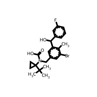 Cc1c(Br)cc(CN(C(=O)O)C2(C(C)(C)C)CC2)cc1C(O)c1cccc(F)c1